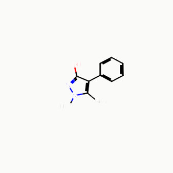 CCCCc1c(-c2ccccc2)c(O)nn1C